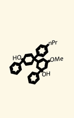 CCCc1ccc(C2(C3=CC(OC)=CC(O)(c4ccccc4)C3)C=CC(O)(c3ccccc3)C=C2)cc1